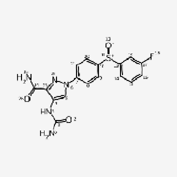 NC(=O)Nc1cn(-c2ccc([S+]([O-])c3cccc(F)c3)cc2)nc1C(N)=O